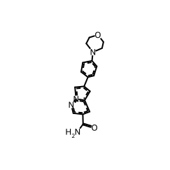 NC(=O)c1cnn2cc(-c3ccc(N4CCOCC4)cc3)cc2c1